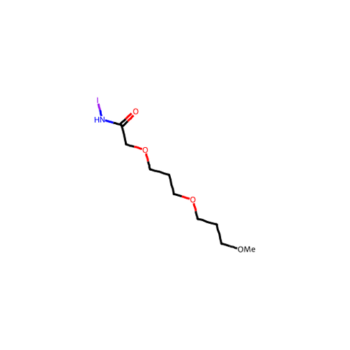 COCCCOCCCOCC(=O)NI